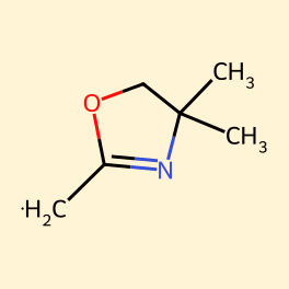 [CH2]C1=NC(C)(C)CO1